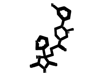 C[C@H]1CN(C(=O)CCC2(c3cccnc3)NC(=O)NC2=O)CCN1c1cccc(F)c1